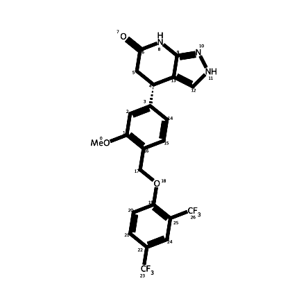 COc1cc([C@@H]2CC(=O)Nc3n[nH]cc32)ccc1COc1ccc(C(F)(F)F)cc1C(F)(F)F